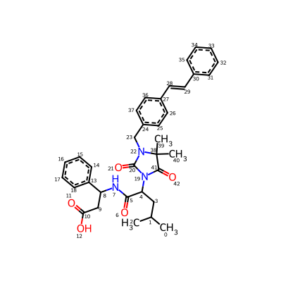 CC(C)CC(C(=O)NC(CC(=O)O)c1ccccc1)N1C(=O)N(Cc2ccc(C=Cc3ccccc3)cc2)C(C)(C)C1=O